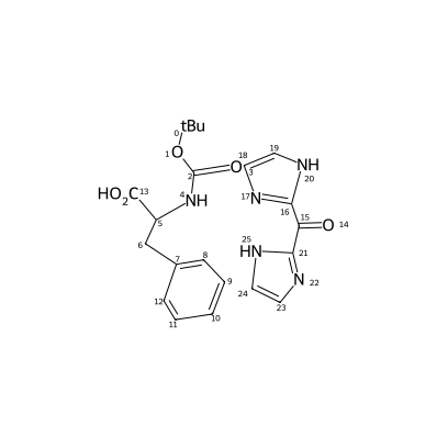 CC(C)(C)OC(=O)NC(Cc1ccccc1)C(=O)O.O=C(c1ncc[nH]1)c1ncc[nH]1